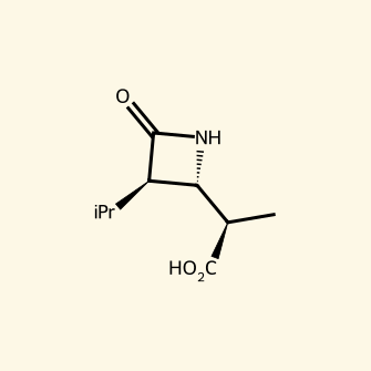 CC(C)[C@H]1C(=O)N[C@@H]1[C@@H](C)C(=O)O